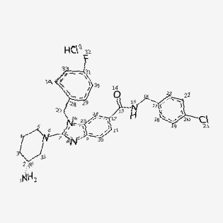 Cl.N[C@@H]1CCCN(c2nc3ccc(C(=O)NCc4ccc(Cl)cc4)cc3n2Cc2ccc(F)cc2)C1